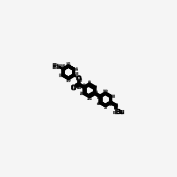 CCC(C)CC1CC=C(c2ccc(C(=O)O[C@H]3CC[C@H](CC)CC3)cc2)CC1